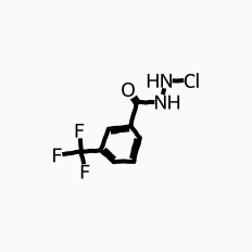 O=C(NNCl)c1cccc(C(F)(F)F)c1